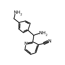 N#Cc1cccnc1C(N)c1ccc(CN)cc1